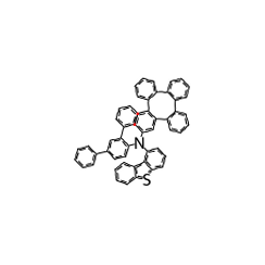 c1ccc(-c2ccc(N(c3ccc4c(c3)-c3ccccc3-c3ccccc3-c3ccccc3-4)c3cccc4sc5ccccc5c34)c(-c3ccccc3)c2)cc1